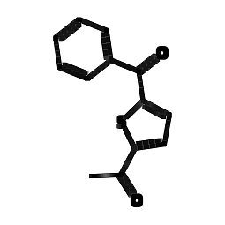 CC(=O)c1ccc(C(=O)c2ccccc2)s1